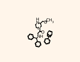 C1=CC2=CC=C1C2c1ccccc1.COCC1CN(C(=O)CNC(c2ccccc2)c2ccccc2)CCN1